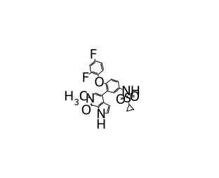 Cn1cc(-c2cc(NS(=O)(=O)C3CC3)ccc2Oc2ccc(F)cc2F)c2cc[nH]c2c1=O